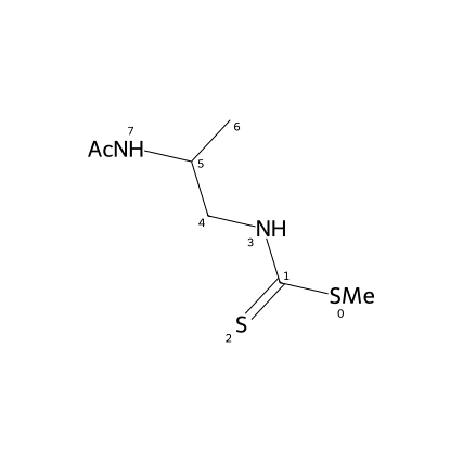 CSC(=S)NCC(C)NC(C)=O